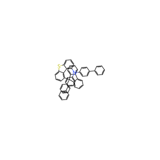 c1ccc(-c2ccc(N(c3ccc(-c4ccccc4)cc3)c3cccc4sc5cccc(C6(c7ccccc7)c7ccccc7-c7ccccc76)c5c34)cc2)cc1